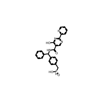 O=C(NC(c1ccccc1)c1ccc(C[PH](=O)O)cc1)c1cnc(-c2ccccn2)nc1O